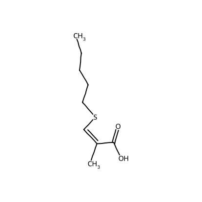 CCCCCSC=C(C)C(=O)O